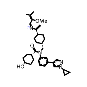 C=C(/N=C\C(OC)=C(C)C)[C@H]1CC[C@H](CN(c2cccc(-c3cnn(C4CC4)c3)c2)C(=O)[C@H]2CC[C@H](O)CC2)CC1